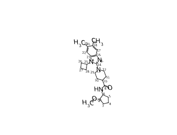 CO[C@H]1CCCC1NC(=O)C1CCN(c2nc3cc(C)c(C)cc3n2C2CCC2)CC1